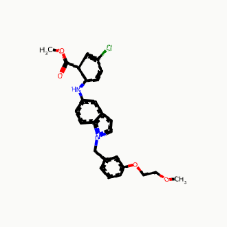 COCCOc1cccc(Cn2ccc3cc(NC4C=CC(Cl)=CC4C(=O)OC)ccc32)c1